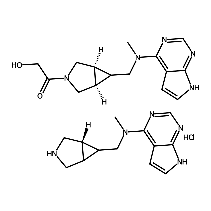 CN(CC1C2CNC[C@@H]21)c1ncnc2[nH]ccc12.CN(CC1[C@H]2CN(C(=O)CO)C[C@@H]12)c1ncnc2[nH]ccc12.Cl